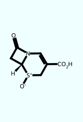 O=C(O)C1=CN2C(=O)C[C@H]2[S+]([O-])C1